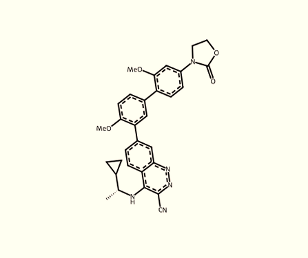 COc1cc(N2CCOC2=O)ccc1-c1ccc(OC)c(-c2ccc3c(N[C@H](C)C4CC4)c(C#N)nnc3c2)c1